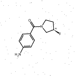 Nc1ccc(C(=O)N2CC[C@@H](F)C2)cc1